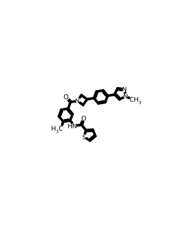 Cc1ccc(C(=O)N2CC(c3ccc(-c4cnn(C)c4)cc3)C2)cc1NC(=O)c1cccs1